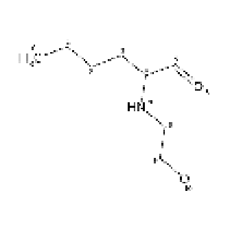 CCCCC(C=O)NCC[O]